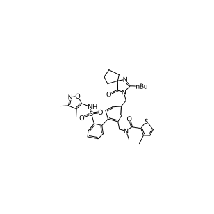 CCCCC1=NC2(CCCC2)C(=O)N1Cc1ccc(-c2ccccc2S(=O)(=O)Nc2onc(C)c2C)c(CN(C)C(=O)c2sccc2C)c1